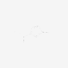 CC(O)c1cn(C)nn1